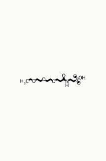 CCOCCOCCOCCC(=O)NCCS(=O)(=O)O